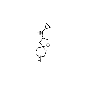 C1CC2(CCN1)CC(NC1CC1)CO2